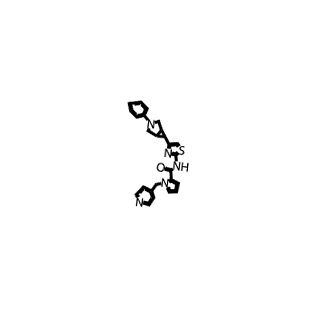 O=C(Nc1nc(C2C3CN(c4ccccc4)CC32)cs1)c1cccn1Cc1ccncc1